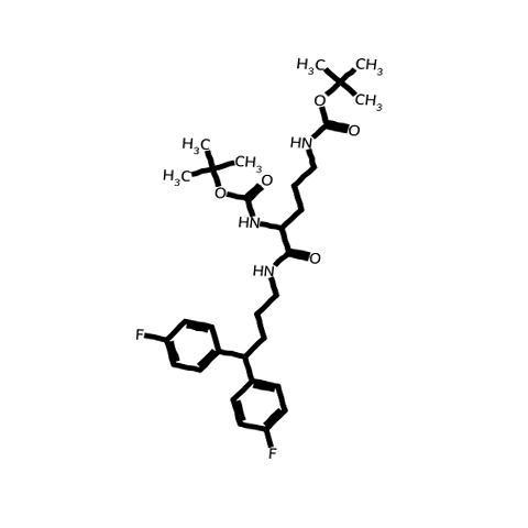 CC(C)(C)OC(=O)NCCCC(NC(=O)OC(C)(C)C)C(=O)NCCCC(c1ccc(F)cc1)c1ccc(F)cc1